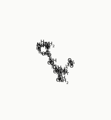 CC(C)[C@H](NC(=O)CCCCCN1C(=O)C=CC1=O)C(=O)N[C@@H](CCCNC(N)=O)C(=O)Nc1ccc(COC(=O)NCCCOc2cc3cc(c2)-c2cnc(N)c(n2)C(=O)Nc2cnccc2N(C)CCCO3)cc1